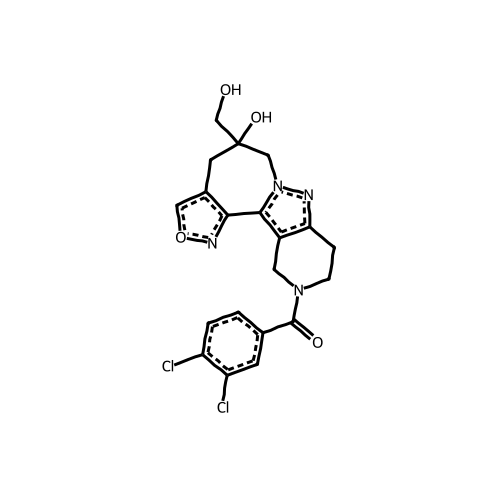 O=C(c1ccc(Cl)c(Cl)c1)N1CCc2nn3c(c2C1)-c1nocc1CC(O)(CO)C3